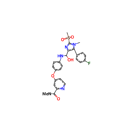 CNC(=O)c1cc(Oc2ccc(NC(O)c3nc(S(C)(=O)=O)n(C)c3-c3ccc(F)cc3)cc2)ccn1